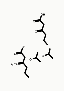 CC(C)[O-].CC(C)[O-].CCCC(=O)CC(=O)O.CCCC(=O)CC(=O)[O-].[Al+3]